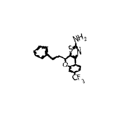 Nc1nc2c(s1)C(CCc1ccccc1)Oc1cc(C(F)(F)F)ccc1-2